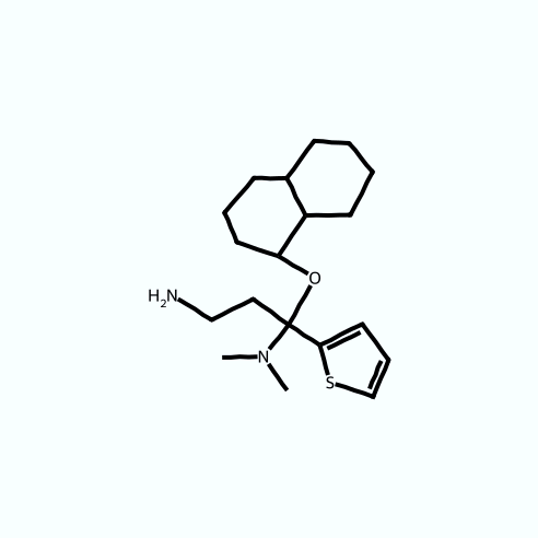 CN(C)C(CCN)(OC1CCCC2CCCCC21)c1cccs1